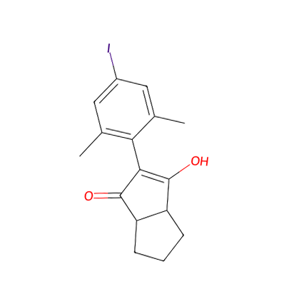 Cc1cc(I)cc(C)c1C1=C(O)C2CCCC2C1=O